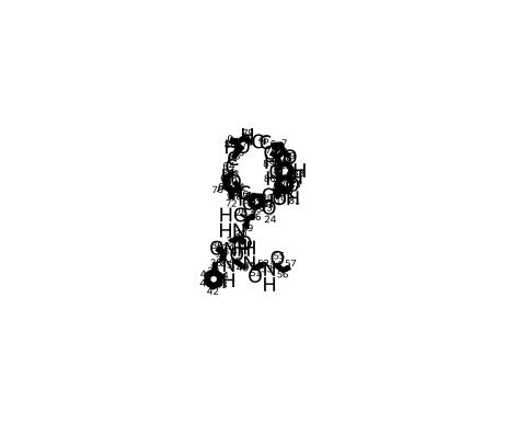 C=C1C[C@@H]2CC[C@@]34CC5OC6C(O[C@H]7CC[C@H](CC(=O)C[C@@H]8[C@@H](OC)[C@@H](C[C@H](O)CNC(=O)CNC(=O)[C@H](Cc9ccccc9)NC(=O)CNC(=O)CNC(=O)CC)O[C@H]8C[C@H]8O[C@@H](CC[C@@H]1O2)C[C@@H](C)C8=C)O[C@@H]7[C@@H]6O3)[C@H]5O4